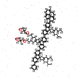 CCCCCCC1(CCCCCC)c2cc(-c3ccccc3)ccc2-c2ccc(-c3ccc4c(c3)C(CCCCCCOCC3(C)COC3)(CCCCCCOCC3(C)COC3)c3cc(-c5ccc6c(c5)C(CCCCCC)(CCCCCC)c5cc(-c7ccc8ccc9c(C)ccc%10ccc7c8c%109)ccc5-6)ccc3-4)cc21